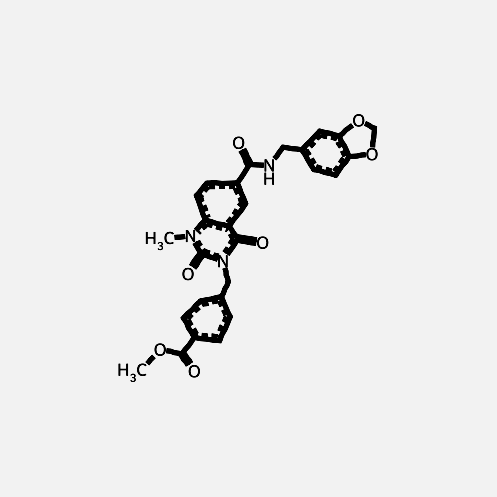 COC(=O)c1ccc(Cn2c(=O)c3cc(C(=O)NCc4ccc5c(c4)OCO5)ccc3n(C)c2=O)cc1